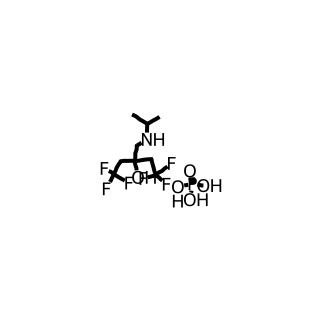 CC(C)NCC(O)(CC(F)(F)F)CC(F)(F)F.O=P(O)(O)O